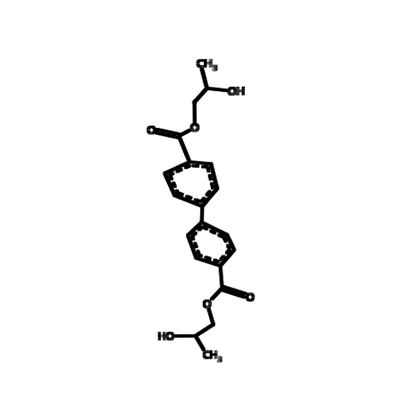 CC(O)COC(=O)c1ccc(-c2ccc(C(=O)OCC(C)O)cc2)cc1